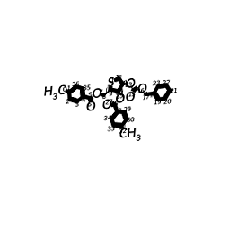 Cc1ccc(C(=O)OC[C@H]2SC[C@H](OC(=O)OCc3ccccc3)[C@H]2OC(=O)c2ccc(C)cc2)cc1